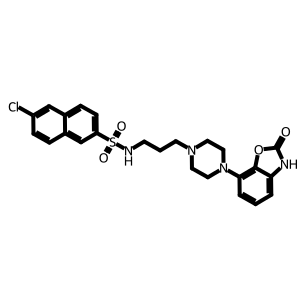 O=c1[nH]c2cccc(N3CCN(CCCNS(=O)(=O)c4ccc5cc(Cl)ccc5c4)CC3)c2o1